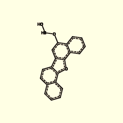 OBOc1cc2c3ccc4ccccc4c3oc2c2ccccc12